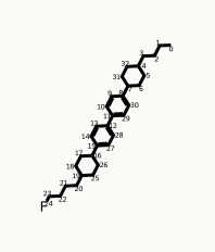 CCCCC1CCC(c2ccc(-c3ccc(C4CCC(CCCCF)CC4)cc3)cc2)CC1